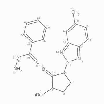 CCCCCCCCCCC1CCC(n2nc3ccc(C)cc3n2)C1=O.NNC(=O)c1ccccc1